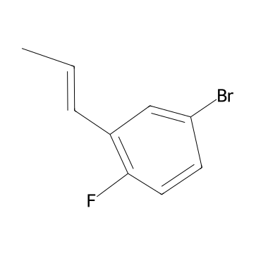 CC=Cc1cc(Br)ccc1F